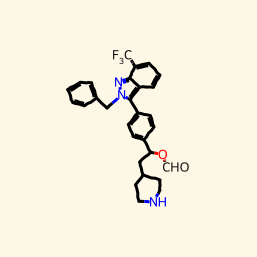 O=COC(CC1CCNCC1)c1ccc(-c2c3cccc(C(F)(F)F)c3nn2Cc2ccccc2)cc1